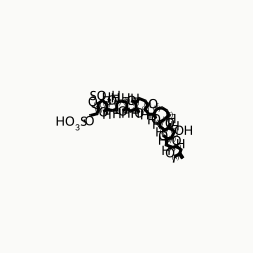 C=C1C[C@@H]2O[C@@]3(C)[C@H](C[C@H]2O[C@@H]1C)O[C@@H]1C[C@@H]2O[C@@H]4C[C@@H]5O[C@@H]6C[C@@H]7O[C@@H]8C[C@@H]9O[C@](C)(CCOS(=O)(=O)O)[C@@H](OS(=O)(=O)O)C[C@H]9O[C@H]8C[C@H]7O[C@H]6CC[C@@]5(C)O[C@@]4(C)CC[C@H](C)[C@H]2O[C@H]1[C@H]3O